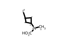 CN(C(=O)O)C1CC(I)C1